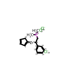 CP(C)C[CH]([Zr+3][C]1=CC=CC1)c1ccccc1.[Cl-].[Cl-].[Cl-]